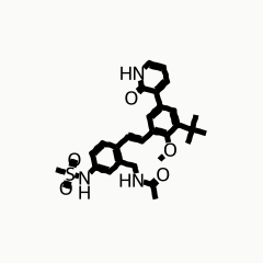 COc1c(C=Cc2ccc(NS(C)(=O)=O)cc2CNC(C)=O)cc(-c2ccc[nH]c2=O)cc1C(C)(C)C